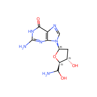 Nc1nc2c(ncn2[C@H]2C[C@H](O)[C@@H](C(N)O)O2)c(=O)[nH]1